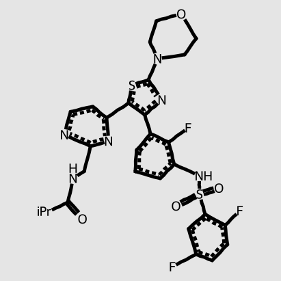 CC(C)C(=O)NCc1nccc(-c2sc(N3CCOCC3)nc2-c2cccc(NS(=O)(=O)c3cc(F)ccc3F)c2F)n1